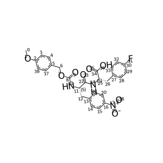 COc1ccc(COC(=O)N[C@@H](Cc2ccc([N+](=O)[O-])cc2)C(=O)N[C@@H](Cc2ccc(F)cc2)C(=O)O)cc1